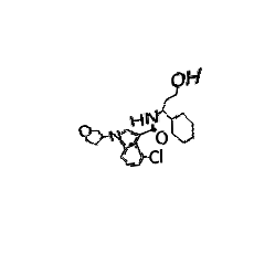 O=C(NC(CCO)C1CCCCC1)c1cn(C2CCOC2)c2cccc(Cl)c12